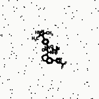 Cc1n[nH]c(C)c1-c1ccc(NC(=O)C(NC(=O)C2(F)CC2)[C@@H]2CCCc3ccc(-c4cnn(C(F)F)c4)cc32)cc1